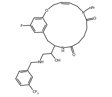 CCCN1CC=CCOc2cc(F)cc(c2)CC(C(O)CNCc2cccc(C(F)(F)F)c2)NC(=O)CCCC1=O